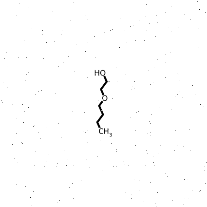 CCCCOC[CH]O